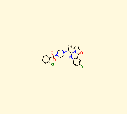 CC(c1nc2ccc(Cl)cc2c(=O)n1C)N1CCN(S(=O)(=O)c2ccccc2Cl)CC1